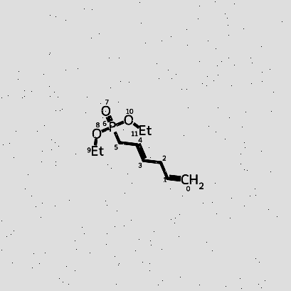 C=CCC=CCP(=O)(OCC)OCC